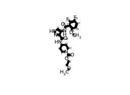 COCCOC(=O)N1CCC(NC(=O)c2n[nH]cc2NC(=O)c2c(OC)ccc(F)c2F)CC1